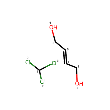 ClC(Cl)Cl.OCC=CCO